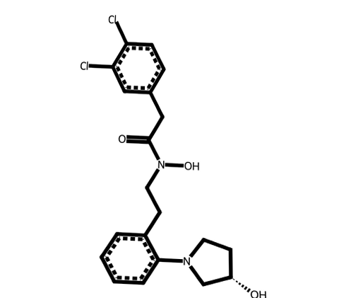 O=C(Cc1ccc(Cl)c(Cl)c1)N(O)CCc1ccccc1N1CC[C@H](O)C1